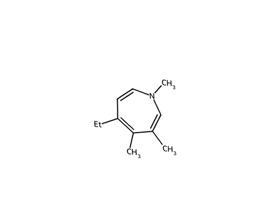 CCC1=C(C)C(C)=CN(C)C=C1